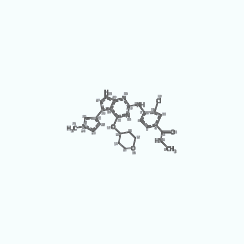 CNC(=O)c1ccc(Nc2nc(OC3CCOCC3)c3c(-c4ccn(C)c4)c[nH]c3n2)c(Cl)c1